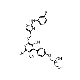 N#Cc1c(N)nc(SCc2csc(Nc3cccc(F)c3)n2)c(C#N)c1-c1ccc(OC[C@@H](O)CO)cc1